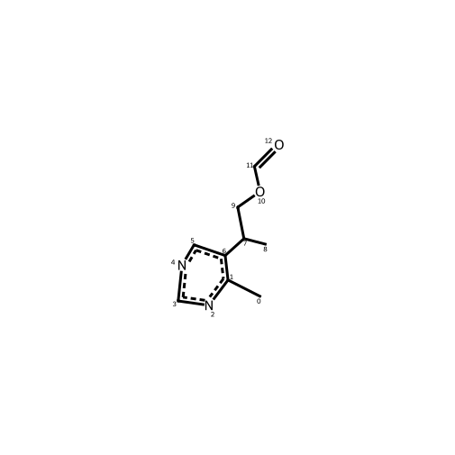 Cc1ncncc1C(C)COC=O